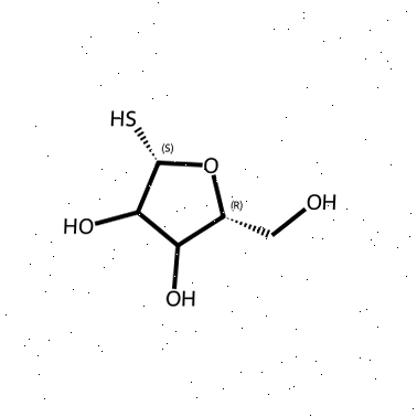 OC[C@H]1O[C@@H](S)C(O)C1O